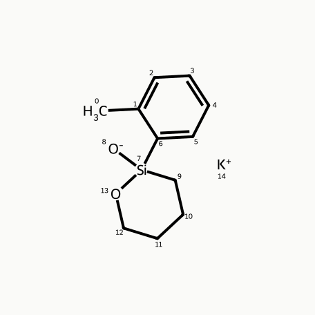 Cc1ccccc1[Si]1([O-])CCCCO1.[K+]